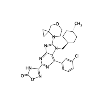 C[C@H]1CC[C@H](Cn2c(N3CCOCC34CC4)nc3nc(-c4noc(=O)[nH]4)nc(-c4cccc(Cl)c4)c32)CC1